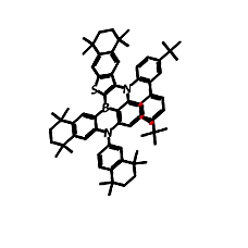 Cc1cc2c3c(c1)N(c1ccc(C(C)(C)C)cc1-c1ccc(C(C)(C)C)cc1)c1c(sc4cc5c(cc14)C(C)(C)CCC5(C)C)B3c1cc3c(cc1N2c1ccc2c(c1)C(C)(C)CCC2(C)C)C(C)(C)CCC3(C)C